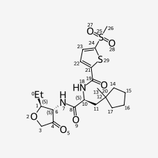 CC[C@@H]1OCC(=O)[C@H]1NC(=O)[C@H](CC1(C)CCCC1)NC(=O)c1ccc(S(C)(=O)=O)s1